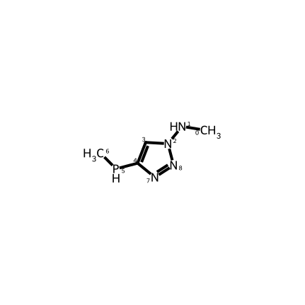 CNn1cc(PC)nn1